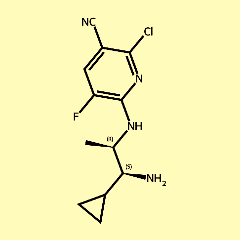 C[C@@H](Nc1nc(Cl)c(C#N)cc1F)[C@@H](N)C1CC1